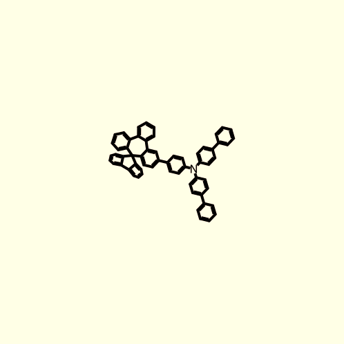 c1ccc(-c2ccc(N(c3ccc(-c4ccccc4)cc3)c3ccc(-c4ccc5c(c4)-c4ccccc4-c4ccccc4C54c5ccccc5-c5ccccc54)cc3)cc2)cc1